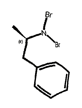 C[C@H](Cc1ccccc1)N(Br)Br